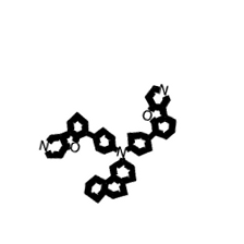 c1ccc2c(c1)ccc1ccc(N(c3ccc(-c4cccc5c4oc4ccncc45)cc3)c3ccc(-c4cccc5c4oc4ccncc45)cc3)cc12